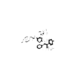 CCS(=O)(=O)O.CN1CCN(CC(=O)N(C)c2ccc(NC(=C3C(=O)Nc4cc(Cl)ccc43)c3ccccc3)cc2)CC1